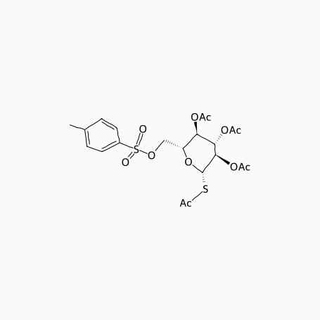 CC(=O)O[C@@H]1[C@@H](OC(C)=O)[C@H](SC(C)=O)O[C@H](COS(=O)(=O)c2ccc(C)cc2)[C@H]1OC(C)=O